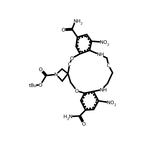 CC(C)(C)OC(=O)N1CC2(COc3cc(C(N)=O)cc([N+](=O)[O-])c3NCCCCNc3c(cc(C(N)=O)cc3[N+](=O)[O-])OC2)C1